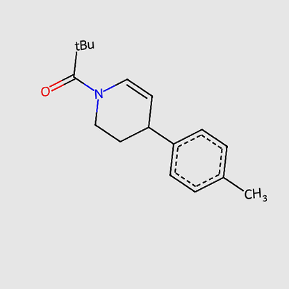 Cc1ccc(C2C=CN(C(=O)C(C)(C)C)CC2)cc1